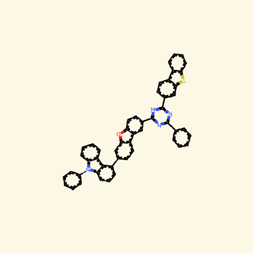 c1ccc(-c2nc(-c3ccc4c(c3)sc3ccccc34)nc(-c3ccc4oc5cc(-c6cccc7c6c6ccccc6n7-c6ccccc6)ccc5c4c3)n2)cc1